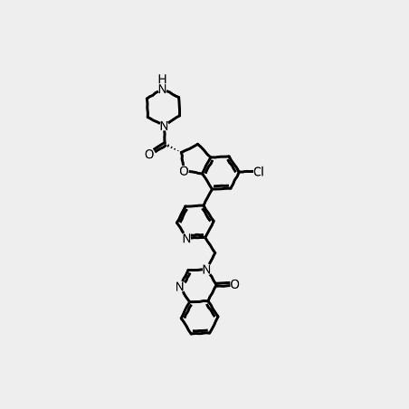 O=C([C@@H]1Cc2cc(Cl)cc(-c3ccnc(Cn4cnc5ccccc5c4=O)c3)c2O1)N1CCNCC1